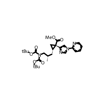 COC(=O)[C@@]1(c2cn(-c3ccccn3)cn2)C[C@H]1C[C@H](C)CN(C(=O)OC(C)(C)C)C(=O)OC(C)(C)C